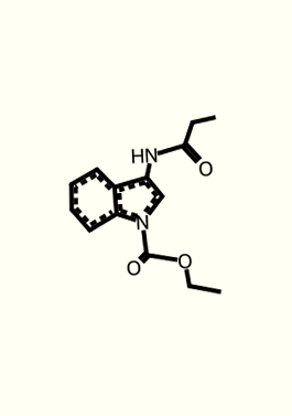 CCOC(=O)n1cc(NC(=O)CC)c2ccccc21